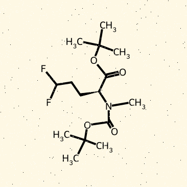 CN(C(=O)OC(C)(C)C)[C@@H](CCC(F)F)C(=O)OC(C)(C)C